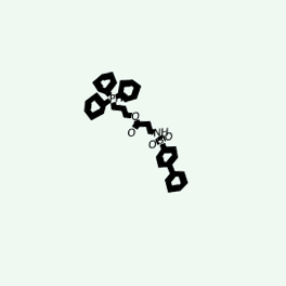 O=C(CCNS(=O)(=O)c1ccc(-c2ccccc2)cc1)OCCC[PH](c1ccccc1)(c1ccccc1)c1ccccc1